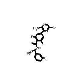 Nc1ncc(Br)nc1-c1cc(F)c(C(=O)NC(CO)c2cccc(Cl)c2)c(F)c1